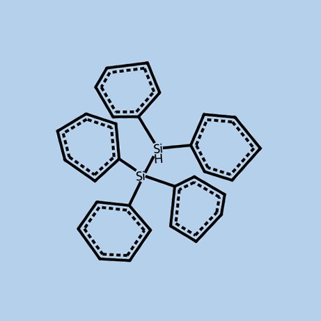 c1ccc([SiH](c2ccccc2)[Si](c2ccccc2)(c2ccccc2)c2ccccc2)cc1